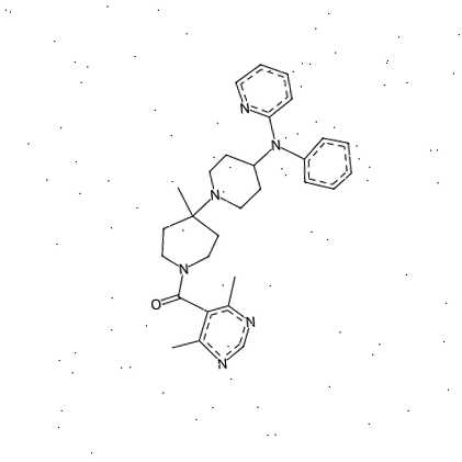 Cc1ncnc(C)c1C(=O)N1CCC(C)(N2CCC(N(c3ccccc3)c3ccccn3)CC2)CC1